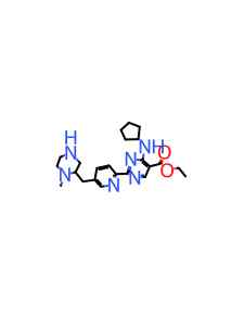 CCOC(=O)c1cnc(-c2ccc(CC3CNCCN3C)cn2)nc1NC1CCCC1